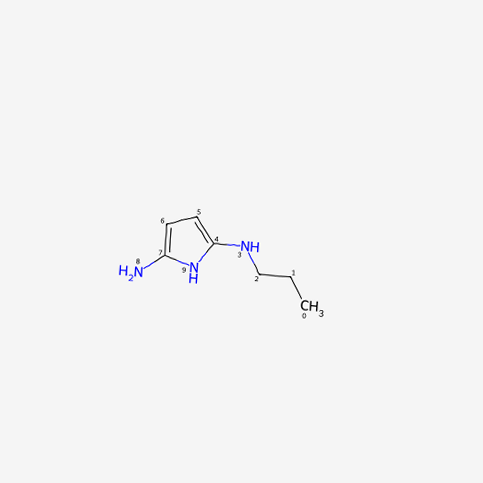 CCCNc1ccc(N)[nH]1